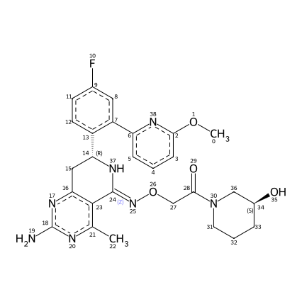 COc1cccc(-c2cc(F)ccc2[C@H]2Cc3nc(N)nc(C)c3/C(=N/OCC(=O)N3CCC[C@H](O)C3)N2)n1